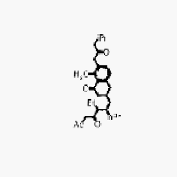 CCCC(CC1CC(=O)c2c(ccc(CC(=O)CC(C)C)c2C)C1)C(CC)C(=O)CC(C)=O